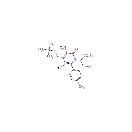 CCOC(=O)C(CC(C)(C)C)n1c(-c2ccc(C)cc2)c(C)c(CO[Si](C)(C)C(C)(C)C)c([N+](=O)[O-])c1=O